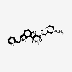 Cc1c(C(=O)NC[C@@H]2CN(C)CCO2)oc2c1-c1nn(Cc3ccccn3)cc1CC2